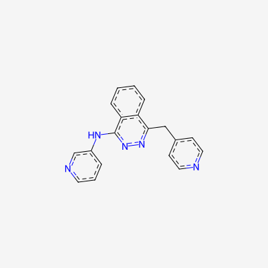 c1cncc(Nc2nnc(Cc3ccncc3)c3ccccc23)c1